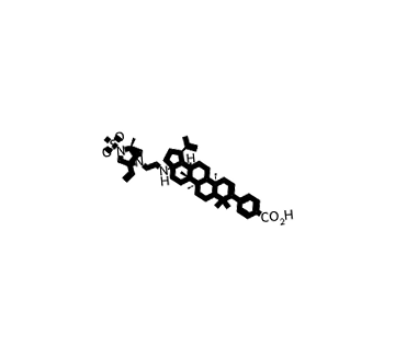 C=CC12CN(S(C)(=O)=O)[C@](C)(CN1CCN[C@]13CC[C@@H](C(=C)C)C1[C@H]1CCC4[C@@]5(C)CC=C(c6ccc(C(=O)O)cc6)C(C)(C)C5CC[C@@]4(C)[C@]1(C)CC3)C2